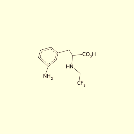 Nc1cccc(CC(NCC(F)(F)F)C(=O)O)c1